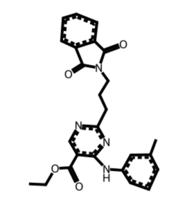 CCOC(=O)c1cnc(CCCN2C(=O)c3ccccc3C2=O)nc1Nc1cccc(C)c1